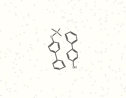 C[Si](C)(C)Oc1ccc(-c2ccccc2)cc1.Oc1ccc(-c2ccccc2)cc1